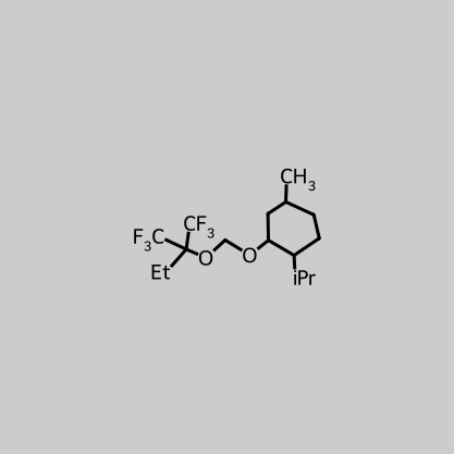 CCC(OCOC1CC(C)CCC1C(C)C)(C(F)(F)F)C(F)(F)F